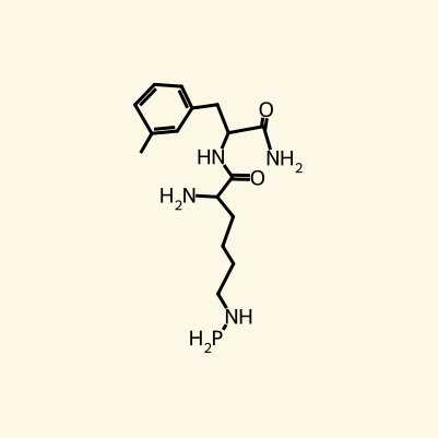 Cc1cccc(CC(NC(=O)C(N)CCCCNP)C(N)=O)c1